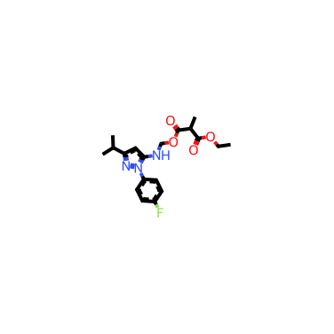 CCOC(=O)C(C)C(=O)OCNc1cc(C(C)C)nn1-c1ccc(F)cc1